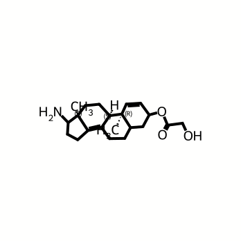 C[C@]12CC[C@@H]3C(=C1CCC2N)CCC1CC(OC(=O)CO)C=C[C@@]13C